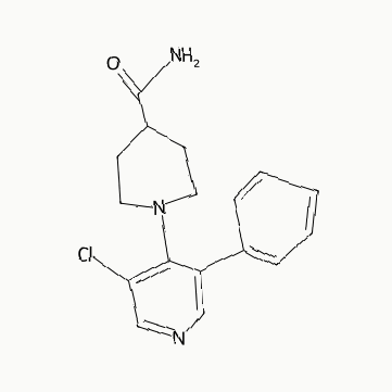 NC(=O)C1CCN(c2c(Cl)cncc2-c2ccccc2)CC1